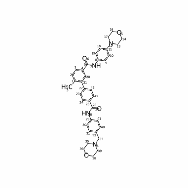 Cc1ccc(C(=O)Nc2ccc(N3CCOCC3)cc2)cc1-c1ccc(C(=O)Nc2ccc(CN3CCOCC3)cc2)cc1